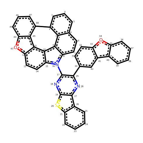 c1cc2c3c(c1)ccc1c3c3c4c(ccc3n1-c1nc3sc5ccccc5c3nc1-c1ccc3oc5ccccc5c3c1)oc1cccc-2c14